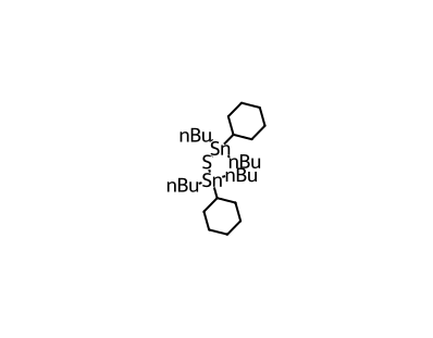 CCC[CH2][Sn]([CH2]CCC)([S][Sn]([CH2]CCC)([CH2]CCC)[CH]1CCCCC1)[CH]1CCCCC1